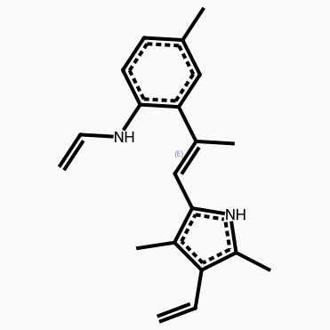 C=CNc1ccc(C)cc1/C(C)=C/c1[nH]c(C)c(C=C)c1C